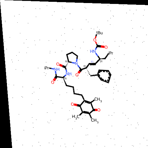 CC1=C(C)C(=O)C(CCCC[C@H](NC(=O)[C@@H]2CCCN2C(=O)[C@H](/C=C/[C@H](CC(C)C)NC(=O)OC(C)(C)C)Cc2ccccc2)C(=O)NC(C)C)=C(C)C1=O